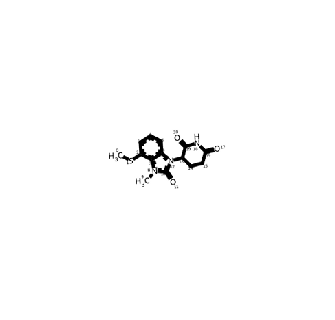 CSc1cccc2c1n(C)c(=O)n2C1CCC(=O)NC1=O